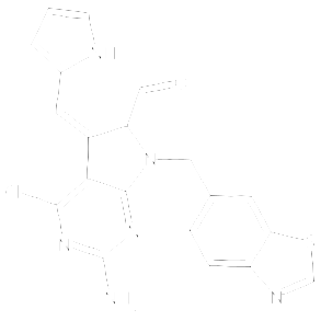 Nc1nc(Cl)c2c(n1)N(Cc1ccc3ncsc3c1)C(C=O)/C2=C\c1ccc[nH]1